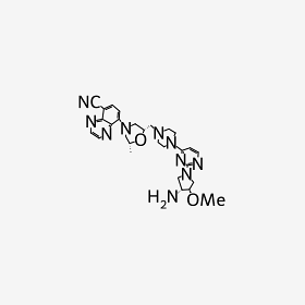 CO[C@@H]1CN(c2nccc(N3CCN(C[C@H]4CN(c5ccc(C#N)c6nccnc56)C[C@@H](C)O4)CC3)n2)C[C@H]1N